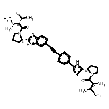 CC(C)[C@H](N)C(=O)N1CCC[C@H]1c1ncc(-c2ccc(C#Cc3ccc4nc([C@@H]5CCCN5C(=O)[C@@H](C(C)C)N(C)C)[nH]c4c3)cc2)[nH]1